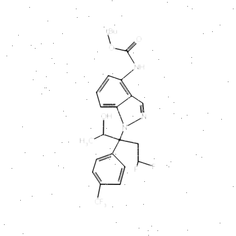 CC(O)C(CC(F)F)(c1ccc(C(F)(F)F)cc1)n1ncc2c(NC(=O)OC(C)(C)C)cccc21